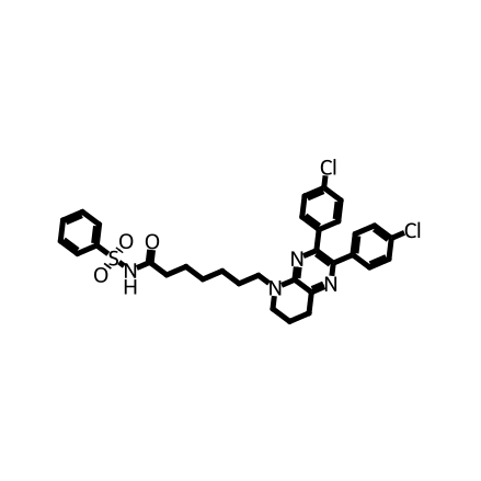 O=C(CCCCCCN1CCCc2nc(-c3ccc(Cl)cc3)c(-c3ccc(Cl)cc3)nc21)NS(=O)(=O)c1ccccc1